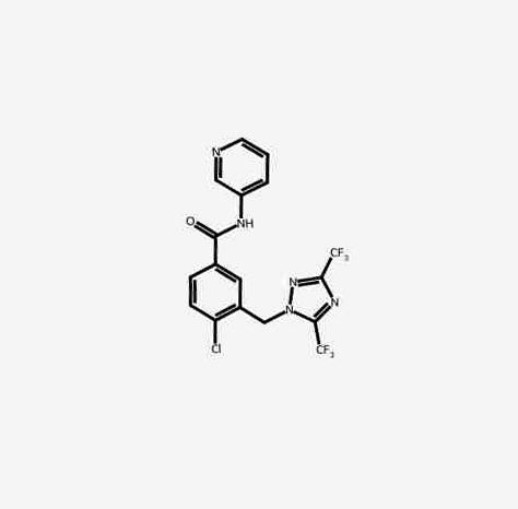 O=C(Nc1cccnc1)c1ccc(Cl)c(Cn2nc(C(F)(F)F)nc2C(F)(F)F)c1